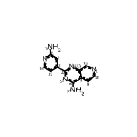 Nc1cc(-c2nc(N)c3ccncc3n2)ccn1